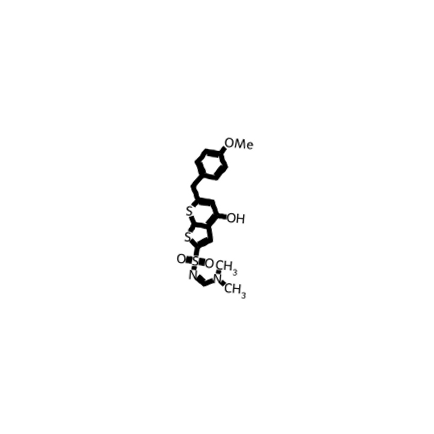 COc1ccc(CC2=CC(O)=C3C=C(S(=O)(=O)/N=C\N(C)C)SC3S2)cc1